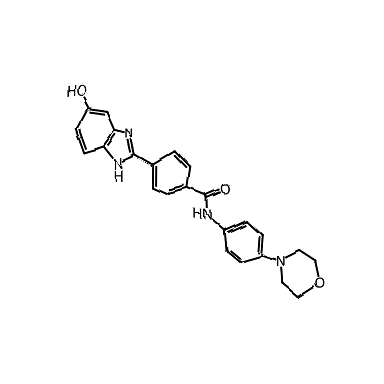 O=C(Nc1ccc(N2CCOCC2)cc1)c1ccc(-c2nc3cc(O)ccc3[nH]2)cc1